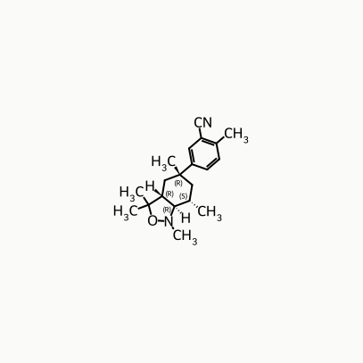 Cc1ccc([C@@]2(C)C[C@@H]3[C@@H]([C@@H](C)C2)N(C)OC3(C)C)cc1C#N